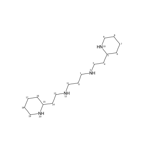 C(CNCCC1CCCCN1)CNCCC1CCCCN1